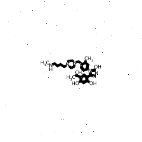 CNCCCCN1CCN(CC2C=CC(n3c(O)nnc3-c3cc(C(C)C)c(O)cc3O)=CC2C)CC1